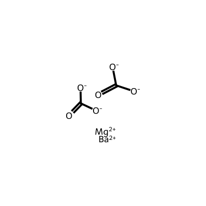 O=C([O-])[O-].O=C([O-])[O-].[Ba+2].[Mg+2]